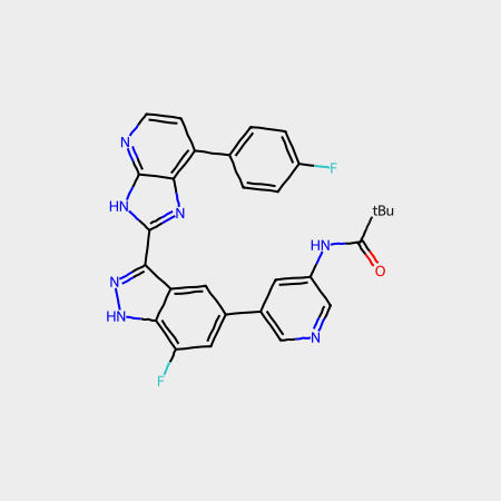 CC(C)(C)C(=O)Nc1cncc(-c2cc(F)c3[nH]nc(-c4nc5c(-c6ccc(F)cc6)ccnc5[nH]4)c3c2)c1